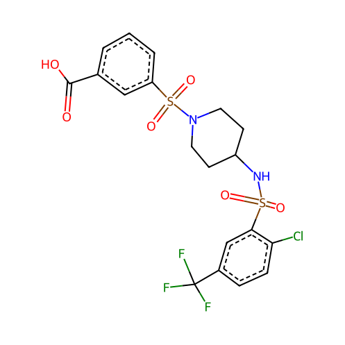 O=C(O)c1cccc(S(=O)(=O)N2CCC(NS(=O)(=O)c3cc(C(F)(F)F)ccc3Cl)CC2)c1